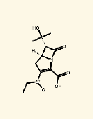 CC[S+]([O-])C1=C(C(=O)O)N2C(=O)[C@@H](C(C)(C)O)[C@@H]2C1